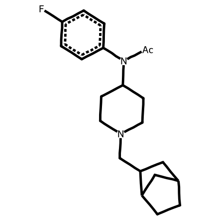 CC(=O)N(c1ccc(F)cc1)C1CCN(CC2CC3CCC2C3)CC1